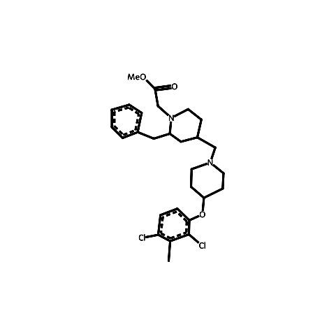 COC(=O)CN1CCC(CN2CCC(Oc3ccc(Cl)c(C)c3Cl)CC2)CC1Cc1ccccc1